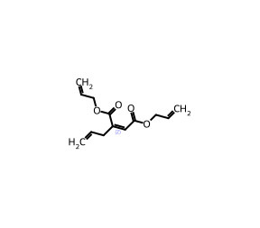 C=CCOC(=O)/C=C(/CC=C)C(=O)OCC=C